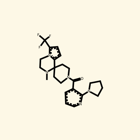 CN1CCn2c(C(F)(F)F)ccc2C12CCN(C(=O)c1cccnc1N1CCCC1)CC2